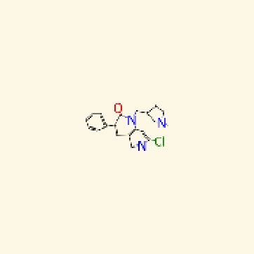 CN1CCC(Cn2c(=O)c(-c3ccccc3)cc3cnc(Cl)cc32)C1